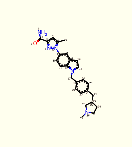 Cc1cc(C(N)=O)nn1-c1ccc2c(ccn2Cc2ccc(C[C@H]3CCN(C)C3)cc2)c1